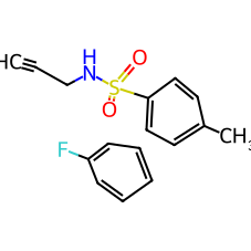 C#CCNS(=O)(=O)c1ccc(C)cc1.Fc1ccccc1